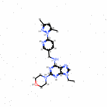 CCn1cnc2c(NCc3ccc(-n4nc(C)cc4C)nc3)nc(N3CCOCC3)nc21